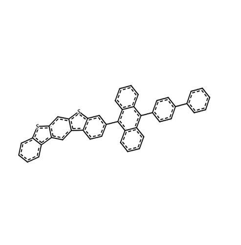 c1ccc(-c2ccc(-c3c4ccccc4c(-c4ccc5c(c4)sc4cc6sc7ccccc7c6cc45)c4ccccc34)cc2)cc1